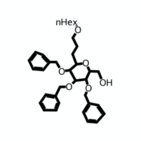 CCCCCCOCCCC1OC(CO)C(OCc2ccccc2)C(OCc2ccccc2)C1OCc1ccccc1